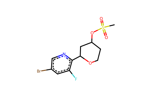 CS(=O)(=O)OC1CCOC(c2ncc(Br)cc2F)C1